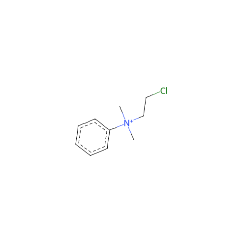 C[N+](C)(CCCl)c1ccccc1